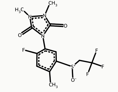 Cc1cc(F)c(-n2c(=O)n(C)n(C)c2=O)cc1[S+]([O-])CC(F)(F)F